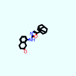 O=C1CCc2cccc(Nc3ncc(C45CC6CC(CC(C6)C4)C5)o3)c2C1